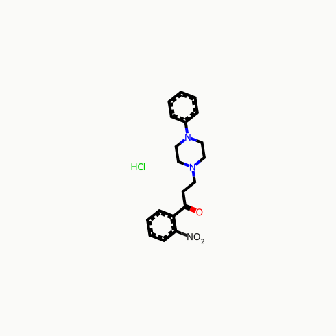 Cl.O=C(CCN1CCN(c2ccccc2)CC1)c1ccccc1[N+](=O)[O-]